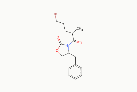 CC(CCCBr)C(=O)N1C(=O)OCC1Cc1ccccc1